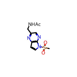 CC(=O)NCc1cnc2c(ccn2S(C)(=O)=O)n1